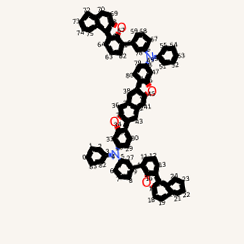 c1ccc(N(c2cccc(-c3cccc4c3oc3ccc5ccccc5c34)c2)c2ccc3c(c2)oc2cc4cc5c(cc4cc23)oc2cc(N(c3ccccc3)c3cccc(-c4cccc6c4oc4ccc7ccccc7c46)c3)ccc25)cc1